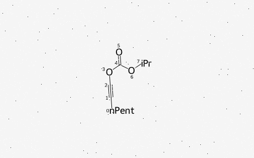 CCCCCC#COC(=O)OC(C)C